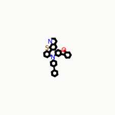 c1ccc(-c2ccc(N(c3ccc4oc5ccccc5c4c3)c3cccc4sc5c(ccc6cccnc65)c34)cc2)cc1